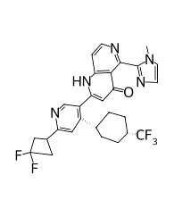 Cn1ccnc1-c1nccc2[nH]c(-c3cnc(C4CC(F)(F)C4)cc3[C@H]3CC[C@@H](C(F)(F)F)CC3)cc(=O)c12